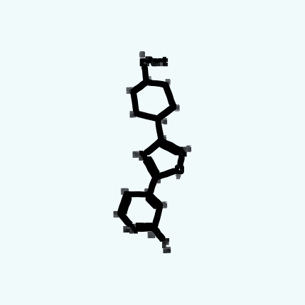 CCCCCC1CCC(c2noc(-c3ccnc(F)c3)n2)CC1